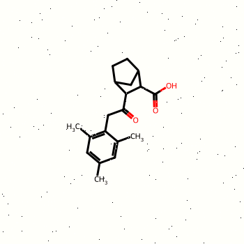 Cc1cc(C)c(CC(=O)C2C3CCC(C3)C2C(=O)O)c(C)c1